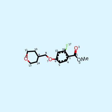 COC(=O)c1ccc(OCC2CCOCC2)cc1F